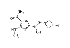 CNc1sc(N(O)SN2CC(F)C2)cc1C(N)=O